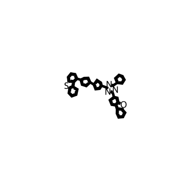 c1ccc(-c2nc(-c3ccc(-c4ccc(-c5cccc6sc7ccccc7c56)cc4)cc3)nc(-c3ccc4c(c3)oc3ccccc34)n2)cc1